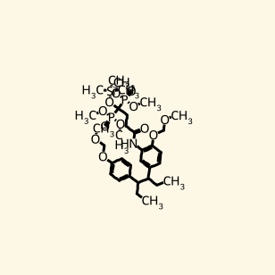 CCC(c1ccc(OCOC)cc1)C(CC)c1ccc(OCOC)c(NC(=O)CCC(O[Si](C)(C)C)(P(=O)(OC)OC)P(=O)(OC)OC)c1